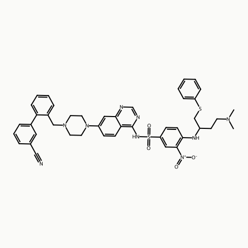 CN(C)CCC(CSc1ccccc1)Nc1ccc(S(=O)(=O)Nc2ncnc3cc(N4CCN(Cc5ccccc5-c5cccc(C#N)c5)CC4)ccc23)cc1[N+](=O)[O-]